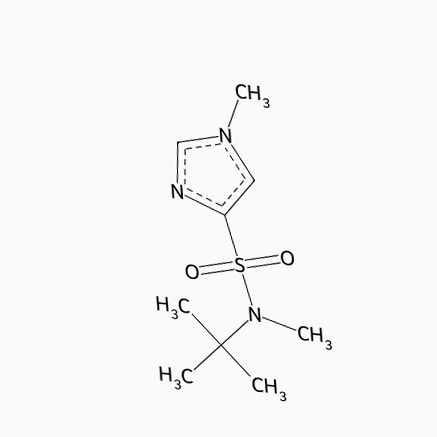 CN(C(C)(C)C)S(=O)(=O)c1cn(C)cn1